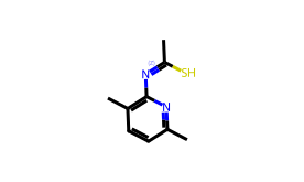 C/C(S)=N/c1nc(C)ccc1C